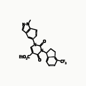 CCOC(=O)c1cn(-c2ccc3c(cnn3C)c2)c(=O)n(C2CCc3c2cccc3C(F)(F)F)c1=O